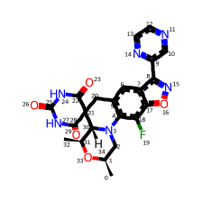 C[C@@H]1CN2c3c(cc4c(-c5cnccn5)noc4c3F)CC3(C(=O)NC(=O)NC3=O)[C@H]2[C@H](C)O1